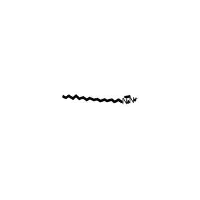 CCCCCCCCCCCCCCCCCCN1C=[N+](C)CC1